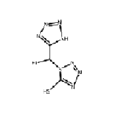 CCC(c1nnn[nH]1)n1nnnc1S